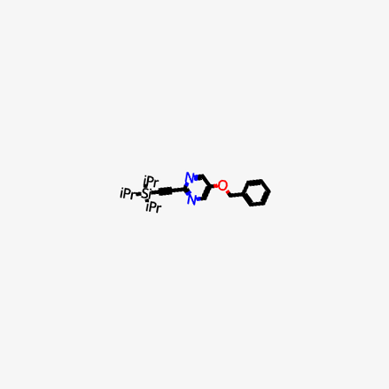 CC(C)[Si](C#Cc1ncc(OCc2ccccc2)cn1)(C(C)C)C(C)C